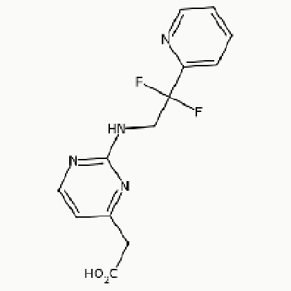 O=C(O)Cc1ccnc(NCC(F)(F)c2ccccn2)n1